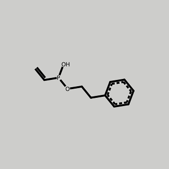 C=CP(O)OCCc1ccccc1